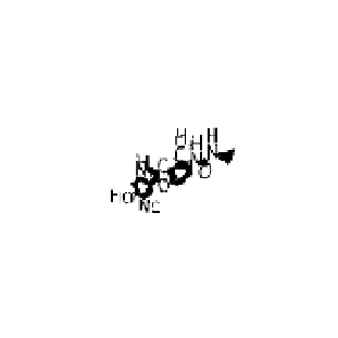 [C-]#[N+]c1cc2c(Oc3ccc(NC(=O)NC4CC4)c(C)c3C)ccnc2cc1O